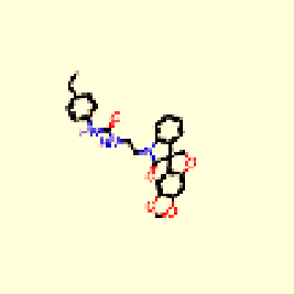 CCc1ccc(NC(=O)NCCN2C(=O)C3(COc4cc5c(cc43)OCO5)c3ccccc32)cc1